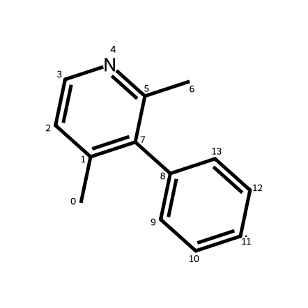 Cc1ccnc(C)c1-c1cc[c]cc1